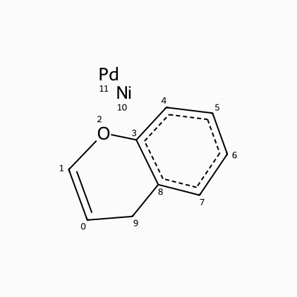 C1=COc2ccccc2C1.[Ni].[Pd]